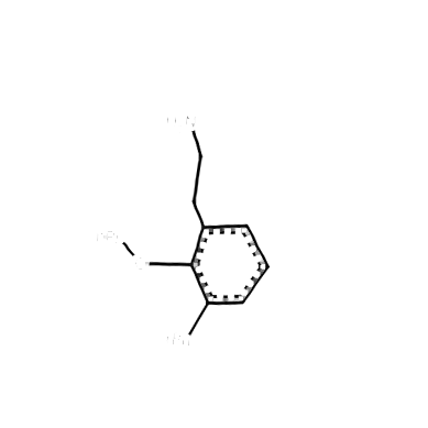 CCCOc1c(CCN)cccc1C(C)(C)C